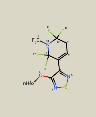 CCCCCCOc1nsnc1C1=CCC(F)(F)N(C(F)(F)F)C1(F)F